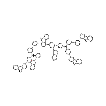 c1cc(-c2cccc(N(c3ccc(-c4ccc5sc6ccccc6c5c4)cc3)c3ccc(-c4ccc(-c5ccc(-c6cccc(-c7cccc(N(c8ccc(-c9ccc%10oc%11ccccc%11c%10c9)cc8)c8ccccc8-c8ccc9ccccc9c8)c7)c6)c6sc7ccccc7c56)cc4-c4ccc5ccccc5c4)cc3)c2)cc(-c2cccc3c2sc2ccccc23)c1